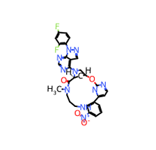 CN1CCCNc2c(cccc2[N+](=O)[O-])-c2ccnc(n2)O[C@H]2C[C@@H](C1=O)N(c1ncnc3c1cnn3-c1ccc(F)cc1F)C2